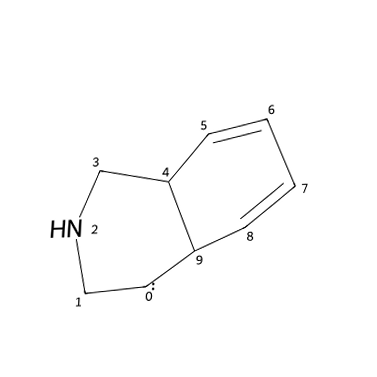 [C]1CNCC2C=CC=CC12